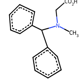 CN(CC(=O)O)C(c1ccccc1)c1ccccc1